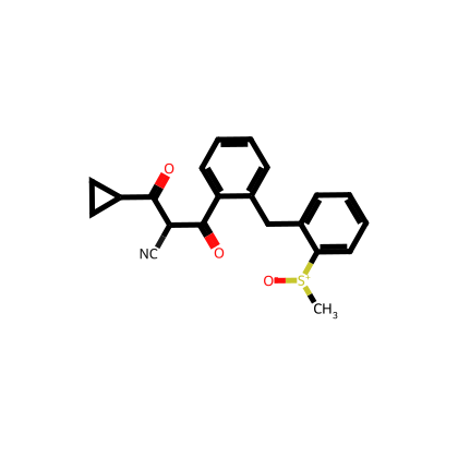 C[S+]([O-])c1ccccc1Cc1ccccc1C(=O)C(C#N)C(=O)C1CC1